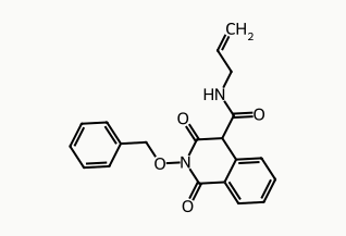 C=CCNC(=O)C1C(=O)N(OCc2ccccc2)C(=O)c2ccccc21